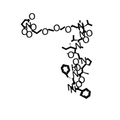 CC[C@H](C)[C@@H]([C@@H](CC(=O)N1CCC[C@H]1[C@H](OC)[C@@H](C)C(=O)N[C@@H](Cc1ccccc1)c1nnc(-c2ccccc2)o1)OC)N(C)[C@H](C(=O)NC(=O)[C@H](C(C)C)N(C)CCOCCOCCOCCC(=O)ON1C(=O)CCC1=O)C(C)C